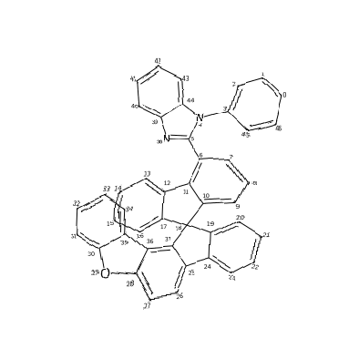 c1ccc(-n2c(-c3cccc4c3-c3ccccc3C43c4ccccc4-c4ccc5oc6ccccc6c5c43)nc3ccccc32)cc1